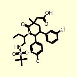 CCC(CNS(=O)(=O)C(C)(C)C)N1C(=O)C(C)(CC(=O)O)CC(c2cccc(Cl)c2)C1c1ccc(Cl)cc1